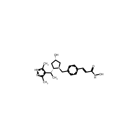 Cc1n[nH]c(C)c1C(C)[C@@H]1C[C@H](O)CN1Cc1ccc(/C=C/C(=O)NO)cc1